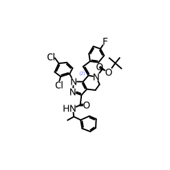 CC(NC(=O)c1nn(-c2ccc(Cl)cc2Cl)c2c1CCN(C(=O)OC(C)(C)C)/C2=C\c1ccc(F)cc1)c1ccccc1